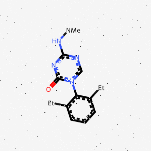 CCc1cccc(CC)c1-n1cnc(NNC)nc1=O